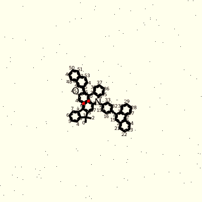 CC1(C)c2ccccc2-c2ccc(N(c3ccc(-c4cc5ccccc5c5ccccc45)cc3)c3ccccc3-c3cccc4oc5c6ccccc6ccc5c34)cc21